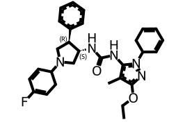 CCOc1nn(C2C=CC=CC2)c(NC(=O)N[C@@H]2CN(C3C=CC(F)=CC3)C[C@H]2c2ccccc2)c1C